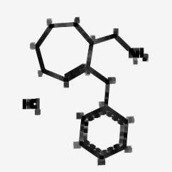 Cl.NCC1CCCCC=C1Cc1ccccc1